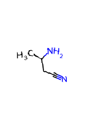 C[C@@H](N)CC#N